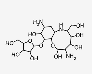 NC1CC2NC(CO)C(O)C(O)C(N)C(O)OC2C(OC2OC(CO)C(O)C2O)C1O